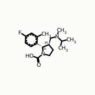 Cc1cc(F)ccc1[C@@H]1[C@@H](CN(C)C(C)C)CCN1C(=O)O